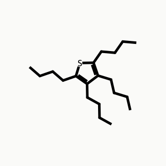 CCCCc1sc(CCCC)c(CCCC)c1CCCC